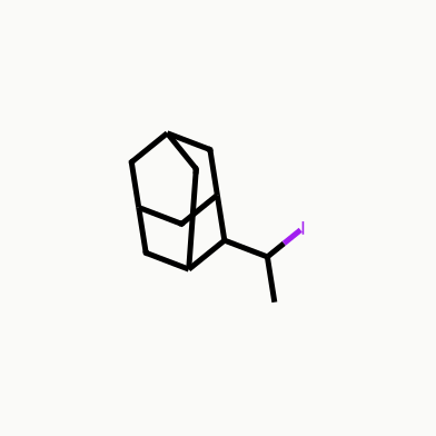 CC(I)C1C2CC3CC(C2)CC1C3